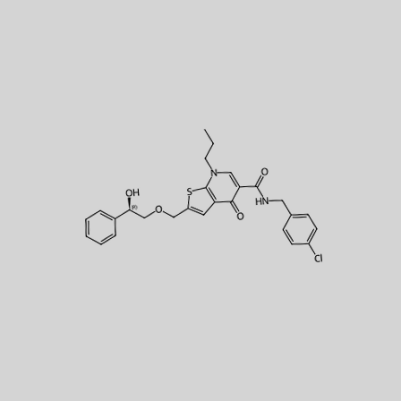 CCCn1cc(C(=O)NCc2ccc(Cl)cc2)c(=O)c2cc(COC[C@H](O)c3ccccc3)sc21